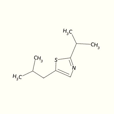 CC(C)Cc1cnc(C(C)C)s1